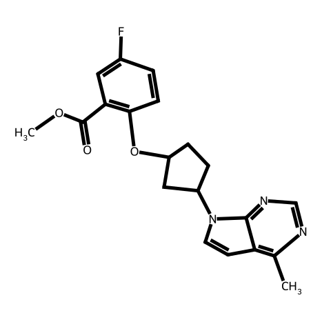 COC(=O)c1cc(F)ccc1OC1CCC(n2ccc3c(C)ncnc32)C1